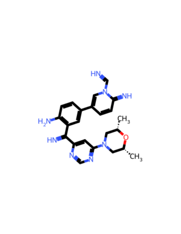 C[C@@H]1CN(c2cc(C(=N)c3cc(-c4ccc(=N)n(C=N)c4)ccc3N)ncn2)C[C@H](C)O1